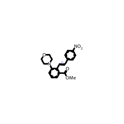 COC(=O)c1cccc(N2CCOCC2)c1/C=C/c1ccc([N+](=O)[O-])cc1